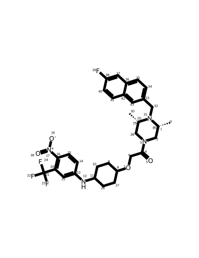 C[C@@H]1CN(C(=O)COC2CCC(Nc3ccc([N+](=O)[O-])c(C(F)(F)F)c3)CC2)C[C@H](C)N1Cc1ccc2cc(F)ccc2c1